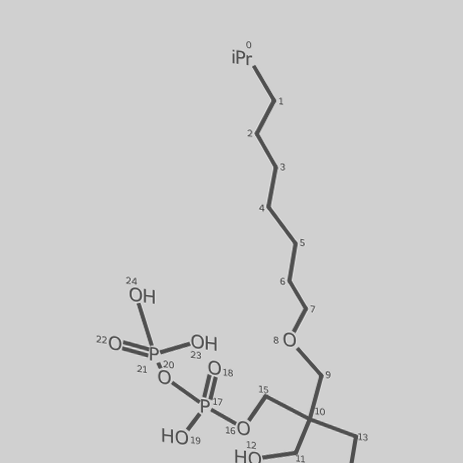 CC(C)CCCCCCCOCC(CO)(CO)COP(=O)(O)OP(=O)(O)O